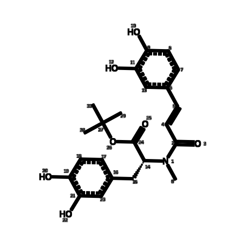 CN(C(=O)C=Cc1ccc(O)c(O)c1)[C@H](Cc1ccc(O)c(O)c1)C(=O)OC(C)(C)C